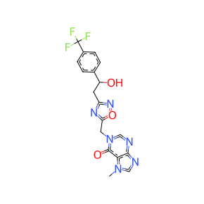 Cn1cnc2ncn(Cc3nc(CC(O)c4ccc(C(F)(F)F)cc4)no3)c(=O)c21